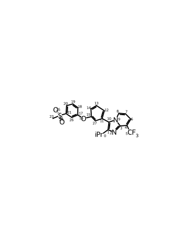 CC(C)c1nc2c(C(F)(F)F)cccn2c1-c1cccc(Oc2cccc(S(C)(=O)=O)c2)c1